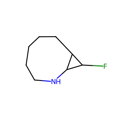 FC1C2CCCCCNC12